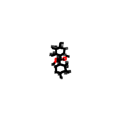 CO[Si](OC)(C1CCC(C)C(C)C1C)C1CCC(C)C(C)C1C